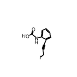 O=C(O)Nc1ccccc1C#CCI